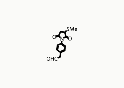 CSC1CC(=O)N(c2ccc(CC=O)cc2)C1=O